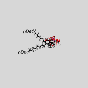 CCCCCCCCCCCCCCCCCCc1ccc(C(C)(O)P(=O)(O)O)c(C(C)(C)C)c1CCCCCCCCCCCCCCCCCC